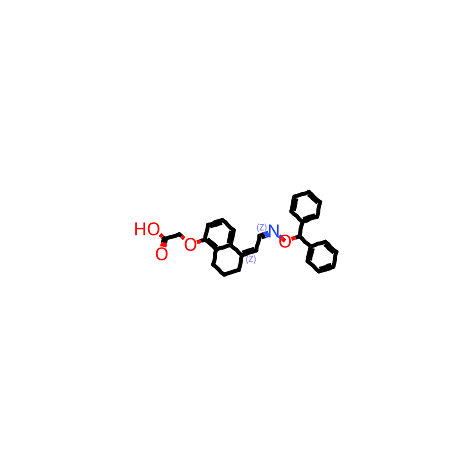 O=C(O)COc1cccc2c1CCC/C2=C/C=N\OC(c1ccccc1)c1ccccc1